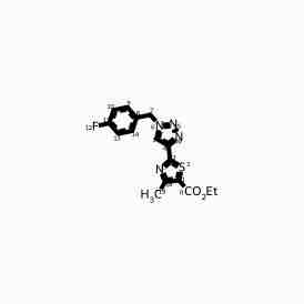 CCOC(=O)c1sc(-c2cn(Cc3ccc(F)cc3)nn2)nc1C